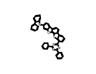 C1=CCCC(c2nc(-c3ccccc3)nc(-c3cccc4c3sc3c4ccc4c5ccc(-n6c7ccccc7c7ccccc76)cc5oc43)n2)=C1